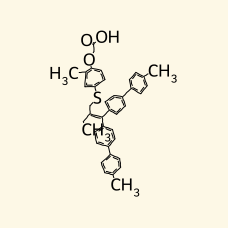 CCC(CSc1ccc(OCC(=O)O)c(C)c1)=C(c1ccc(-c2ccc(C)cc2)cc1)c1ccc(-c2ccc(C)cc2)cc1